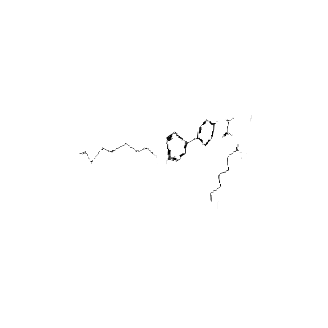 CCCCCCCCOc1ccc(-c2ccc(O[C@@H](C)C(=O)O[C@@H](C)CCCCCC)cc2)cc1